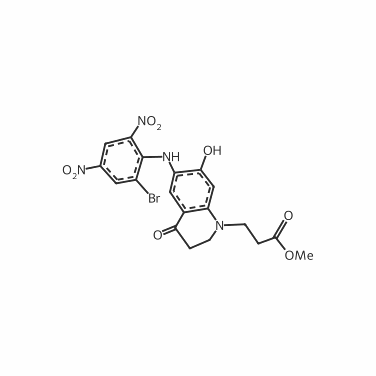 COC(=O)CCN1CCC(=O)c2cc(Nc3c(Br)cc([N+](=O)[O-])cc3[N+](=O)[O-])c(O)cc21